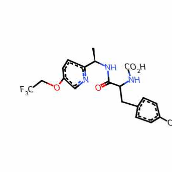 C[C@@H](NC(=O)C(Cc1ccc(C(F)(F)F)cc1)NC(=O)O)c1ccc(OCC(F)(F)F)cn1